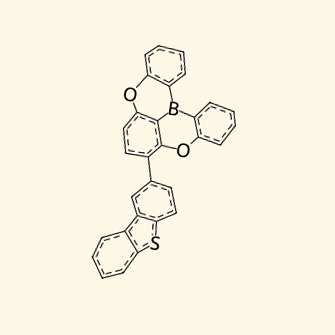 c1ccc2c(c1)Oc1ccc(-c3ccc4sc5ccccc5c4c3)c3c1B2c1ccccc1O3